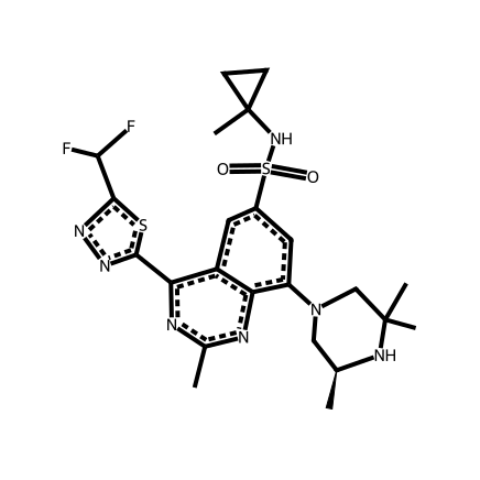 Cc1nc(-c2nnc(C(F)F)s2)c2cc(S(=O)(=O)NC3(C)CC3)cc(N3C[C@H](C)NC(C)(C)C3)c2n1